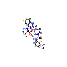 COC(=O)[C@@H](Nc1nc(CN2CCN(C(=O)Nc3cccc(CI)c3)CC2)nc2ccccc12)C(C)C